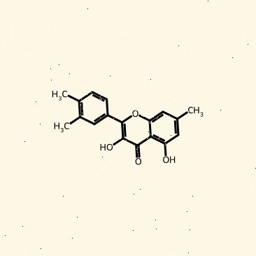 Cc1cc(O)c2c(=O)c(O)c(-c3ccc(C)c(C)c3)oc2c1